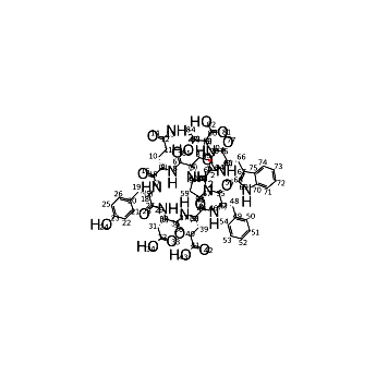 CC(C)C[C@H](N)C(=O)N[C@@H](CCC(N)=O)C(=O)N[C@@H](Cc1ccc(O)cc1)C(=O)N[C@@H](CC(=O)O)C(=O)N[C@@H](CCC(=O)O)C(=O)N[C@@H](Cc1ccccc1)C(=O)N1CCC[C@H]1C(=O)N[C@@H](Cc1c[nH]c2ccccc12)C(=O)N[C@H](C(=O)O)[C@@H](C)O